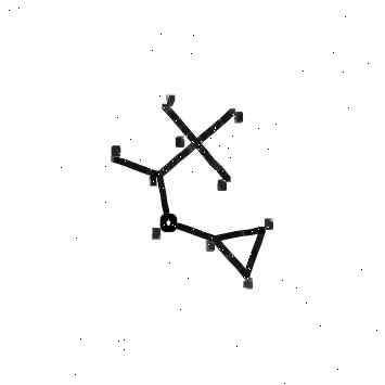 CC(OC1CC1)C(C)(C)C